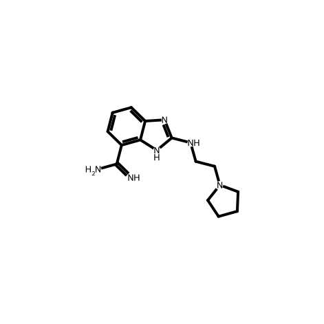 N=C(N)c1cccc2nc(NCCN3CCCC3)[nH]c12